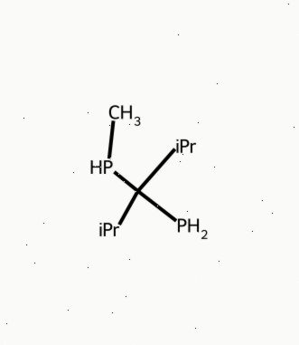 CPC(P)(C(C)C)C(C)C